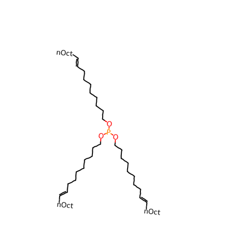 CCCCCCCCC=CCCCCCCCCOP(OCCCCCCCCC=CCCCCCCCC)OCCCCCCCCC=CCCCCCCCC